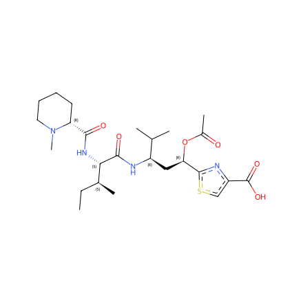 CC[C@H](C)[C@H](NC(=O)[C@H]1CCCCN1C)C(=O)N[C@H](C[C@@H](OC(C)=O)c1nc(C(=O)O)cs1)C(C)C